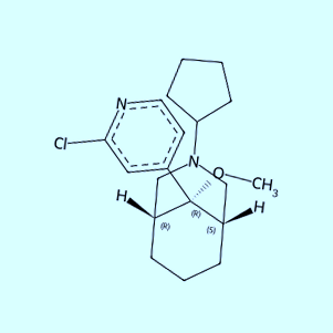 CO[C@@]1(c2ccnc(Cl)c2)[C@@H]2CCC[C@H]1CN(C1CCCC1)C2